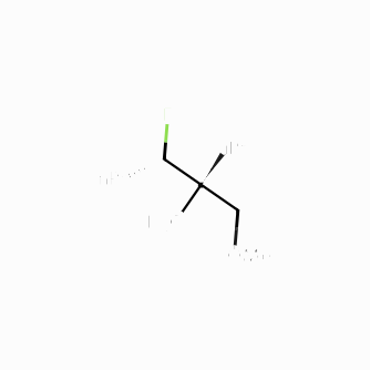 CCC[C@H](F)[C@@](C)(COC)C(C)C